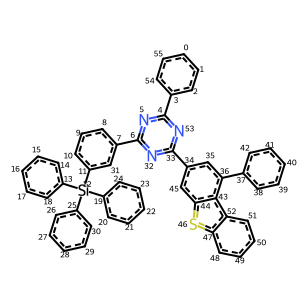 c1ccc(-c2nc(-c3cccc([Si](c4ccccc4)(c4ccccc4)c4ccccc4)c3)nc(-c3cc(-c4ccccc4)c4c(c3)sc3ccccc34)n2)cc1